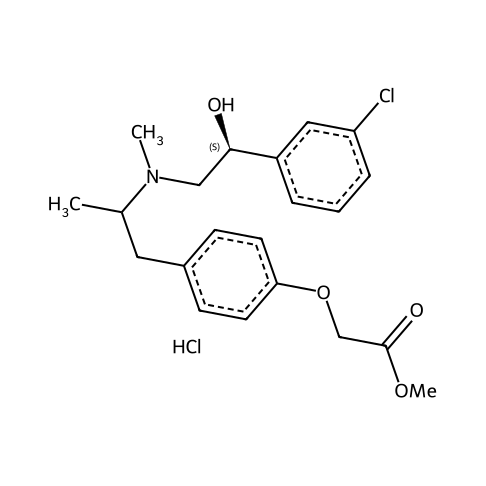 COC(=O)COc1ccc(CC(C)N(C)C[C@@H](O)c2cccc(Cl)c2)cc1.Cl